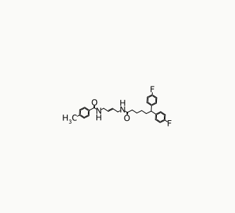 Cc1ccc(C(=O)NCC=CCNC(=O)CCCCC(c2ccc(F)cc2)c2ccc(F)cc2)cc1